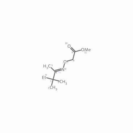 CCC(C)(C)/C(C)=N/OCC(=O)OC